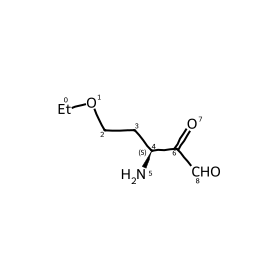 CCOCC[C@H](N)C(=O)C=O